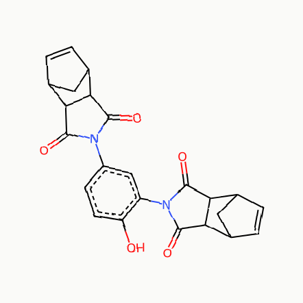 O=C1C2C3C=CC(C3)C2C(=O)N1c1ccc(O)c(N2C(=O)C3C4C=CC(C4)C3C2=O)c1